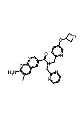 Cc1cc2cc(C(=O)N(Cc3ccc(OC4COC4)cn3)Cc3ncccn3)cnc2nc1N